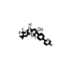 OC(Cc1nc(CC2(C(F)(F)F)CC2)c[nH]1)(c1ccc(-c2ccc(F)cn2)cc1)C(F)(F)F